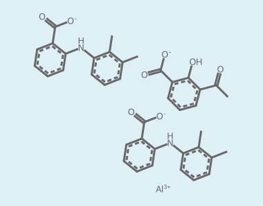 CC(=O)c1cccc(C(=O)[O-])c1O.Cc1cccc(Nc2ccccc2C(=O)[O-])c1C.Cc1cccc(Nc2ccccc2C(=O)[O-])c1C.[Al+3]